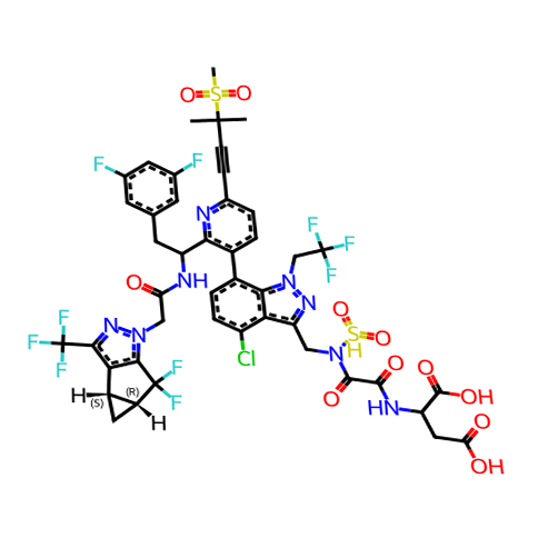 CC(C)(C#Cc1ccc(-c2ccc(Cl)c3c(CN(C(=O)C(=O)NC(CC(=O)O)C(=O)O)[SH](=O)=O)nn(CC(F)(F)F)c23)c(C(Cc2cc(F)cc(F)c2)NC(=O)Cn2nc(C(F)(F)F)c3c2C(F)(F)[C@@H]2C[C@H]32)n1)S(C)(=O)=O